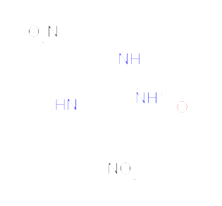 O=[N+]([O-])C1NC([N+](=O)[O-])[NH+]([O-])N1